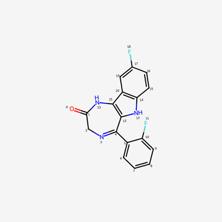 O=C1CN=C(c2ccccc2F)c2[nH]c3ccc(F)cc3c2N1